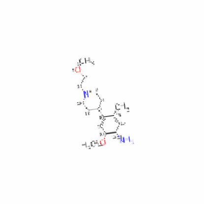 COCCN1CCC(c2cc(OC)c(N)cc2C)CC1